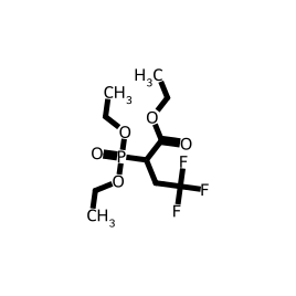 CCOC(=O)C(CC(F)(F)F)P(=O)(OCC)OCC